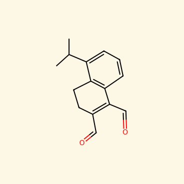 CC(C)c1cccc2c1CCC(C=O)=C2C=O